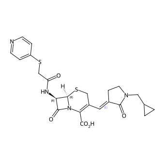 O=C(CSc1ccncc1)N[C@@H]1C(=O)N2C(C(=O)O)=C(/C=C3\CCN(CC4CC4)C3=O)CS[C@H]12